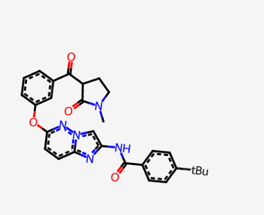 CN1CCC(C(=O)c2cccc(Oc3ccc4nc(NC(=O)c5ccc(C(C)(C)C)cc5)cn4n3)c2)C1=O